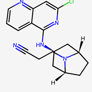 N#CCCN1[C@@H]2CC[C@H]1C[C@H](Nc1nc(Cl)cc3ncccc13)C2